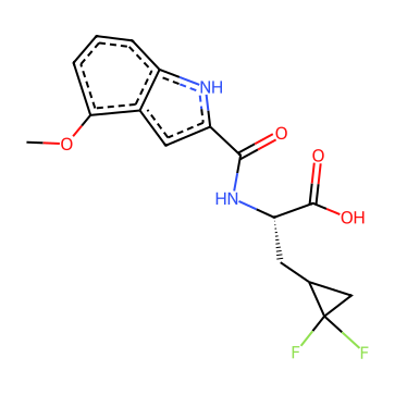 COc1cccc2[nH]c(C(=O)N[C@@H](CC3CC3(F)F)C(=O)O)cc12